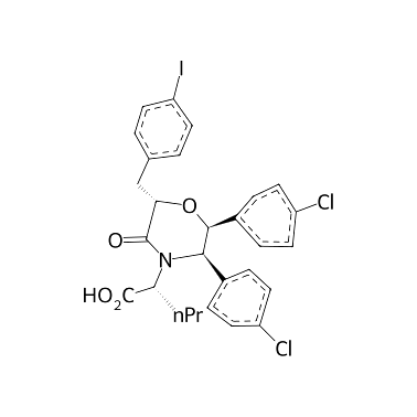 CCC[C@H](C(=O)O)N1C(=O)[C@H](Cc2ccc(I)cc2)O[C@@H](c2ccc(Cl)cc2)[C@H]1c1ccc(Cl)cc1